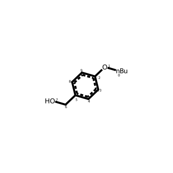 CCCCOc1[c]cc(CO)cc1